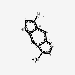 Nc1c[nH]c2cc3c(N)coc3cc12